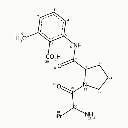 Cc1cccc(NC(=O)C2CCCN2C(=O)C(N)C(C)C)c1C(=O)O